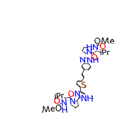 COC(=O)N[C@H](C(=O)N1CCCC1c1nc(-c2ccc(/C=C/c3ccc4[nH]c([C@@H]5CCCN5C(=O)[C@@H](NC(=O)OC)C(C)C)nc4c3)s2)c[nH]1)C(C)C